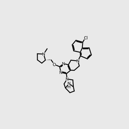 CN1CCC[C@H]1COc1nc2c(c(N3CC4CCC(C3)N4)n1)CCN(c1cccc3c(Cl)cccc13)C2